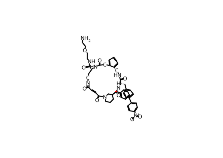 NCCOCCNC(=O)[C@@H]1CCNC(=O)/C=C/C(=O)N2CCC[C@](Cc3ccccc3)(C2)C(=O)N[C@@H](Cc2ccc(-c3ccc([N+](=O)[O-])cc3)cc2)C(=O)NCc2ccccc2CC(=O)N1